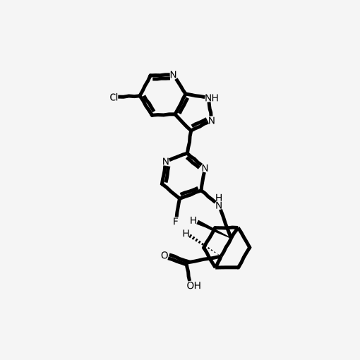 O=C(O)[C@@H]1C2CCC(CC2)[C@H]1Nc1nc(-c2n[nH]c3ncc(Cl)cc23)ncc1F